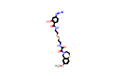 COc1ccc2c(c1)CN(C(=O)C(=O)NCCSSCCNC(=O)c1ccc(N=[N+]=[N-])cc1O)CCS2